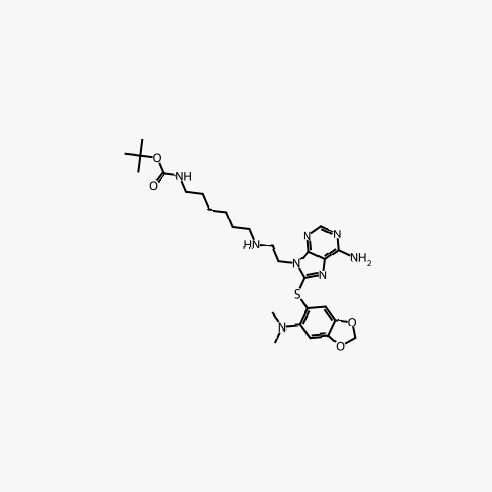 CN(C)c1cc2c(cc1Sc1nc3c(N)ncnc3n1CCNCCCCCCNC(=O)OC(C)(C)C)OCO2